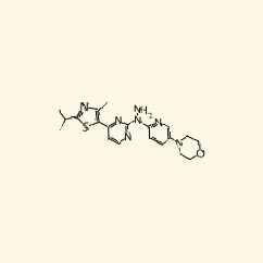 Cc1nc(C(C)C)sc1-c1ccnc(N(N)c2ccc(N3CCOCC3)cn2)n1